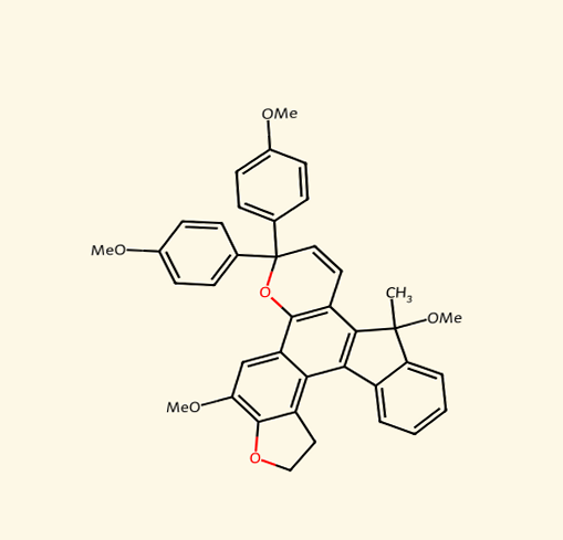 COc1ccc(C2(c3ccc(OC)cc3)C=Cc3c4c(c5c6c(c(OC)cc5c3O2)OCC6)-c2ccccc2C4(C)OC)cc1